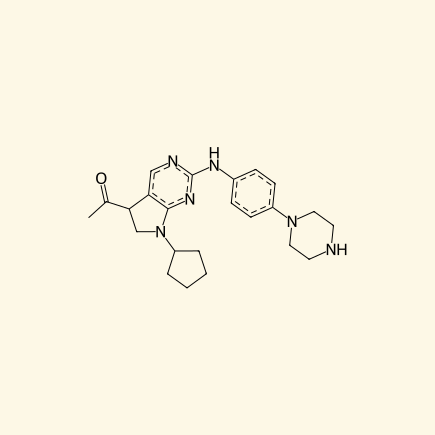 CC(=O)C1CN(C2CCCC2)c2nc(Nc3ccc(N4CCNCC4)cc3)ncc21